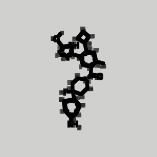 COc1nnc(-c2cc(C(=O)N3CCC(F)(c4ccc(N)cc4)CC3)c(C)cc2C2CCC2)[nH]1